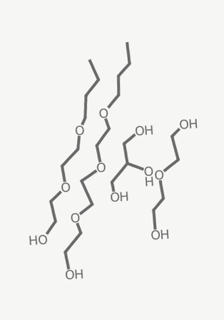 CCCCOCCOCCO.CCCCOCCOCCOCCO.OCC(O)CO.OCCOCCO